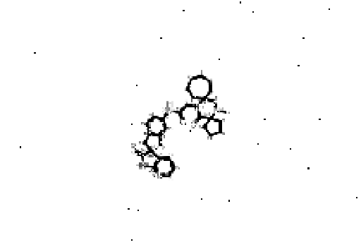 CN1CC2(CCCCCC2)N(CC(=O)Nc2ccc3c(c2)C[C@@]2(C3)C(=O)Nc3ncccc32)C(=O)C12CCCC2